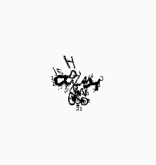 CC(C)c1cnn2c(N[C@@H](C)c3ccccc3O)nc(S(C)(=O)=O)nc12